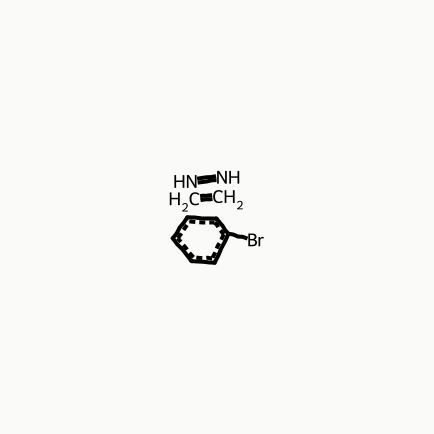 Brc1ccccc1.C=C.N=N